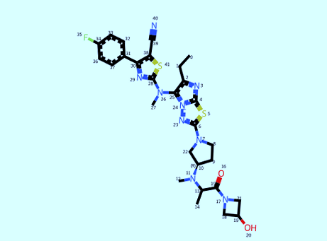 CCc1nc2sc(N3CC[C@@H](N(C)C(C)C(=O)N4CC(O)C4)C3)nn2c1N(C)c1nc(-c2ccc(F)cc2)c(C#N)s1